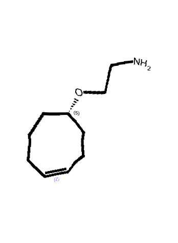 NCCO[C@@H]1CC/C=C\CCC1